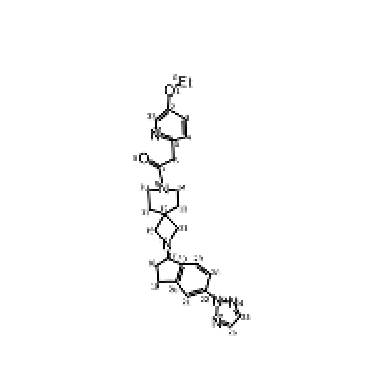 CCOc1ccc(CC(=O)N2CCC3(CC2)CN(C2CCc4cc(-n5nccn5)ccc42)C3)nc1